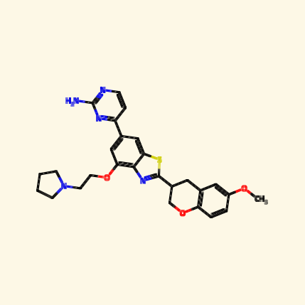 COc1ccc2c(c1)CC(c1nc3c(OCCN4CCCC4)cc(-c4ccnc(N)n4)cc3s1)CO2